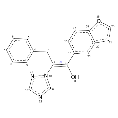 O/C(=C(/Cc1ccccc1)n1cncn1)c1ccc2occc2c1